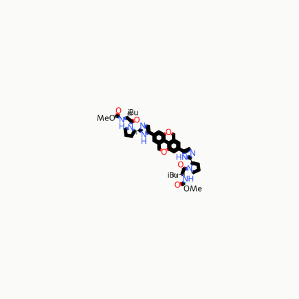 CC[C@H](C)C(NC(=O)OC)C(=O)N1CCC[C@H]1c1ncc(-c2cc3c4c(c2)OCc2cc(-c5cnc([C@@H]6CCCN6C(=O)[C@@H](NC(=O)OC)[C@@H](C)CC)[nH]5)cc(c2-4)OC3)[nH]1